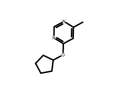 Cc1cc(OC2CCCC2)ncn1